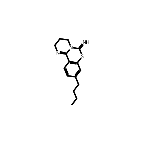 CCCCc1ccc2c(c1)SC(=N)N1CCCN=C21